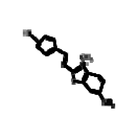 C[n+]1c(N=Cc2ccc(S)cc2)sc2cc([N+](=O)[O-])ccc21